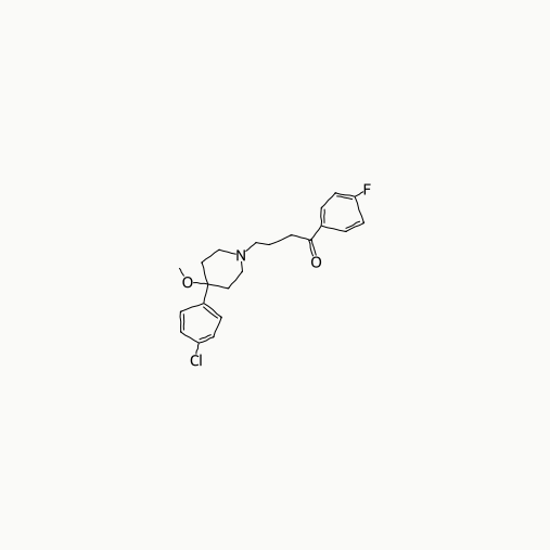 COC1(c2ccc(Cl)cc2)CCN(CCCC(=O)c2ccc(F)cc2)CC1